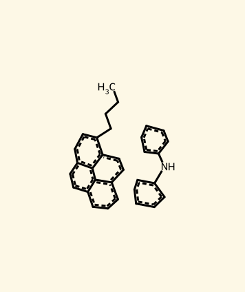 CCCCc1ccc2ccc3cccc4ccc1c2c34.c1ccc(Nc2ccccc2)cc1